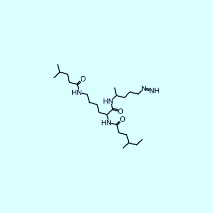 CCC(C)CCC(=O)NC(CCCCNC(=O)CCC(C)C)C(=O)NC(C)CCCN=N